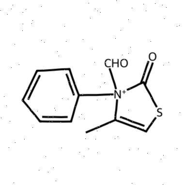 CC1=CSC(=O)[N+]1(C=O)c1ccccc1